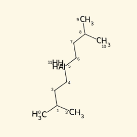 CC(C)C[CH2][AlH][CH2]CC(C)C.[HH]